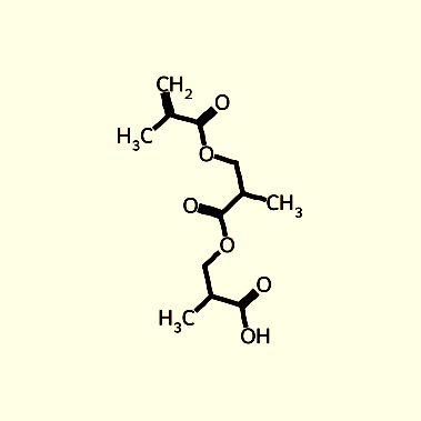 C=C(C)C(=O)OCC(C)C(=O)OCC(C)C(=O)O